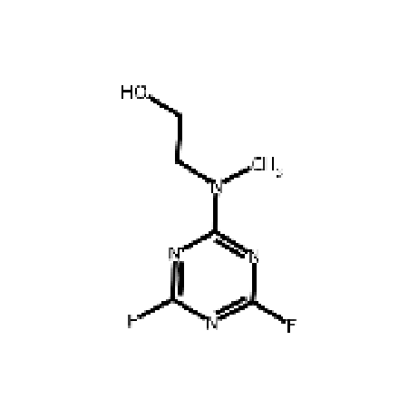 CN(CCO)c1nc(F)nc(F)n1